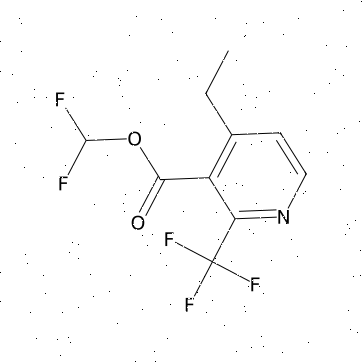 CCc1ccnc(C(F)(F)F)c1C(=O)OC(F)F